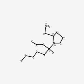 CCCCCC(C)(CCC)N1CCCC1CN